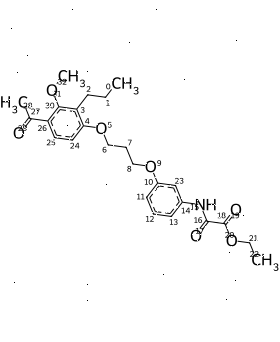 CCCc1c(OCCCOc2cccc(NC(=O)C(=O)OCC)c2)ccc(C(C)=O)c1OC